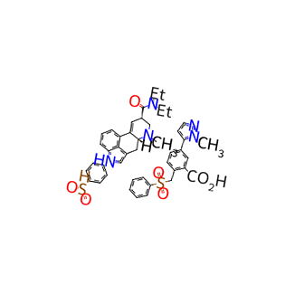 CCN(CC)C(=O)[C@@H]1C=C2c3cccc4[nH]cc(c34)C[C@H]2N(C)C1.Cn1nccc1-c1ccc(CS(=O)(=O)c2ccccc2)c(C(=O)O)c1.O=[SH](=O)c1ccccc1